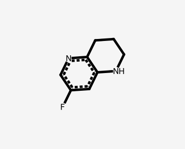 Fc1cnc2c(c1)NCCC2